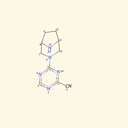 N#Cc1ncnc(N2CC3CCC(C2)N3)n1